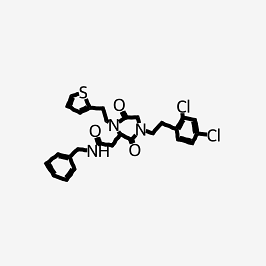 O=C(CC1C(=O)N(CCc2ccc(Cl)cc2Cl)CC(=O)N1CCc1cccs1)NCc1ccccc1